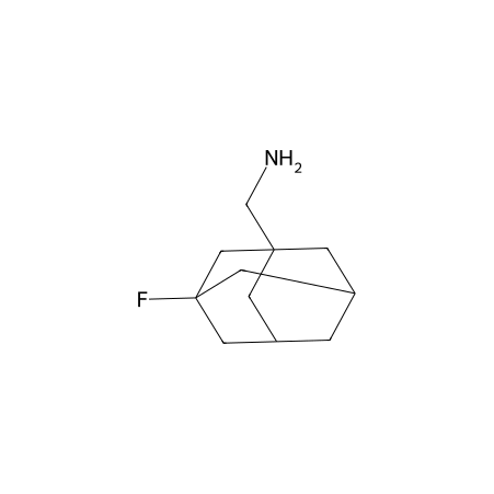 NCC12CC3CC(CC(F)(C3)C1)C2